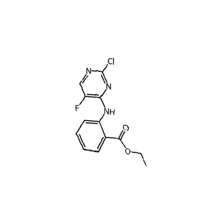 CCOC(=O)c1ccccc1Nc1nc(Cl)ncc1F